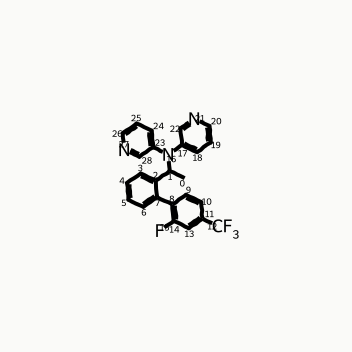 CC(c1ccccc1-c1ccc(C(F)(F)F)cc1F)N(c1cccnc1)c1cccnc1